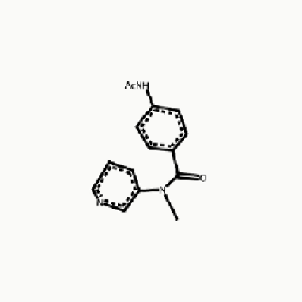 CC(=O)Nc1ccc(C(=O)N(C)c2cccnc2)cc1